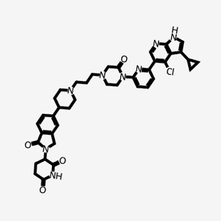 O=C1CCC(N2Cc3cc(C4CCN(CCCN5CCN(c6cccc(-c7cnc8[nH]cc(C9CC9)c8c7Cl)n6)C(=O)C5)CC4)ccc3C2=O)C(=O)N1